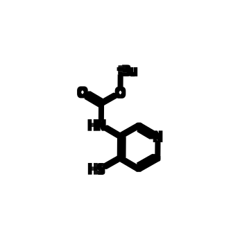 CC(C)(C)OC(=O)Nc1cnccc1S